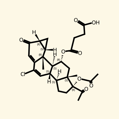 CC(=O)O[C@]1(C(C)=O)CC[C@H]2[C@@H]3C=C(Cl)C4=CC(=O)[C@@H]5C[C@@H]5[C@]4(C)[C@H]3[C@H](OC(=O)CCC(=O)O)C[C@@]21C